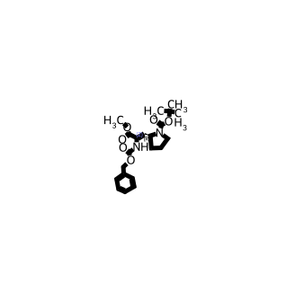 COC(=O)/C(=C/[C@H]1CCCN1C(=O)OC(C)(C)C)NC(=O)OCc1ccccc1